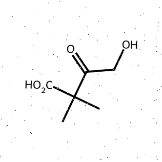 CC(C)(C(=O)O)C(=O)CO